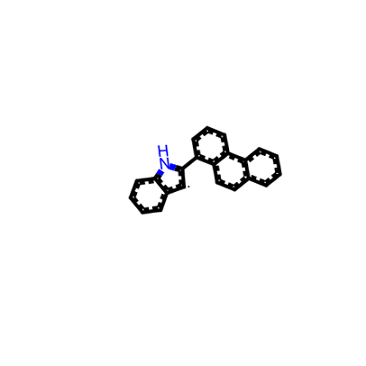 [c]1c(-c2cccc3c2ccc2ccccc23)[nH]c2ccccc12